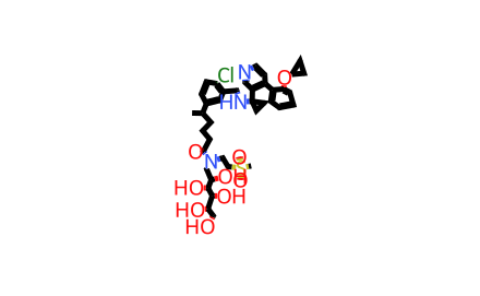 CC(CCCC(=O)N(CCS(C)(=O)=O)CC(O)C(O)C(O)C(O)CO)c1ccc(Cl)c(CNC2(c3cnccc3-c3ccccc3OC3CC3)CC2)c1